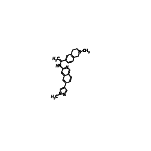 C=C(Nc1cc2cc(-c3cnn(C)c3)ccc2cn1)c1ccc2c(c1)CCN(C)C2